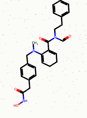 CN(Cc1ccc(CC(=O)NO)cc1)C1=CCCC=C1C(=O)N(C=O)CCc1ccccc1